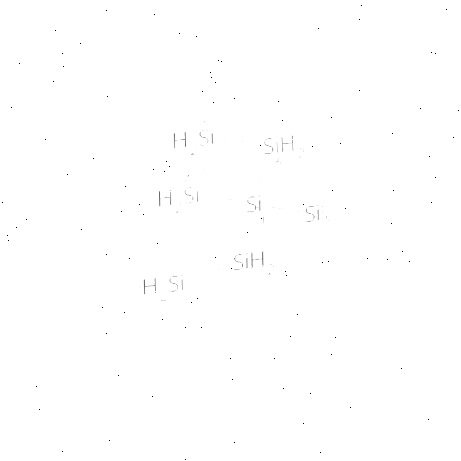 [Si][Si]1([SiH2][SiH2])[SiH2][SiH2][SiH2]1